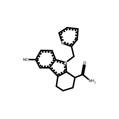 N#Cc1ccc2c(c1)c1c(n2Cc2ccccn2)C(C(N)=O)C[C]C1